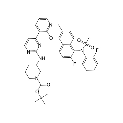 Cc1ccc2c(N(c3ccccc3F)S(C)(=O)=O)c(F)ccc2c1Oc1ncccc1-c1ccnc(NC2CCCN(C(=O)OC(C)(C)C)C2)n1